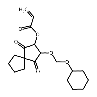 C=CC(=O)OC1C(=O)C2(CCCC2)C(=O)C1OCOC1CCCCC1